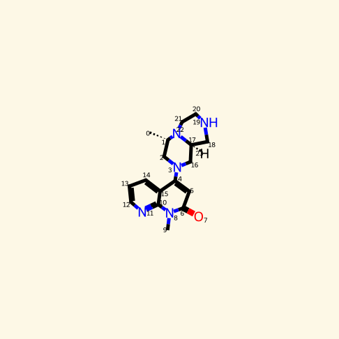 C[C@H]1CN(c2cc(=O)n(C)c3ncccc23)C[C@@H]2CNCCN21